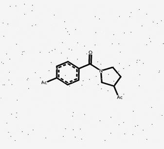 CC(=O)c1ccc(C(=O)N2CCC(C(C)=O)C2)cc1